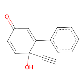 C#CC1(O)C=CC(=O)C=C1c1ccccc1